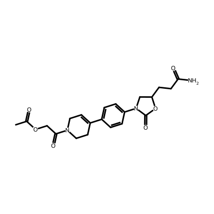 CC(=O)OCC(=O)N1CC=C(c2ccc(N3CC(CCC(N)=O)OC3=O)cc2)CC1